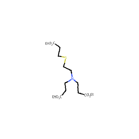 CCOC(=O)CCSCCN(CCC(=O)OCC)CCC(=O)OCC